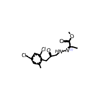 COC(=O)/C(C)=N\NCC(=O)Cc1c(C)cc(Cl)cc1Cl